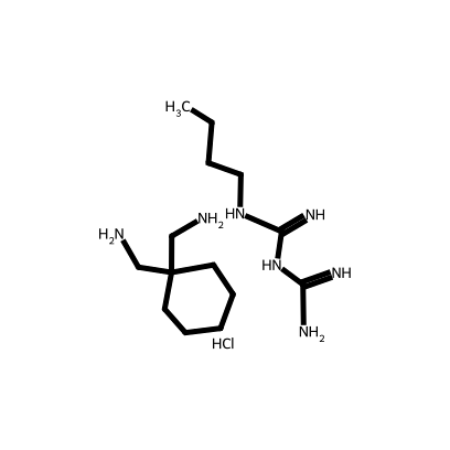 CCCCNC(=N)NC(=N)N.Cl.NCC1(CN)CCCCC1